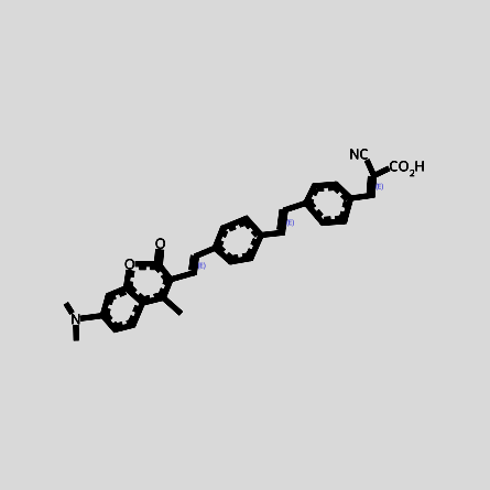 Cc1c(/C=C/c2ccc(/C=C/c3ccc(/C=C(\C#N)C(=O)O)cc3)cc2)c(=O)oc2cc(N(C)C)ccc12